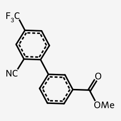 COC(=O)c1cccc(-c2ccc(C(F)(F)F)cc2C#N)c1